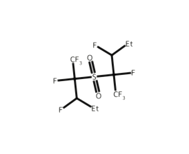 CCC(F)C(F)(C(F)(F)F)S(=O)(=O)C(F)(C(F)CC)C(F)(F)F